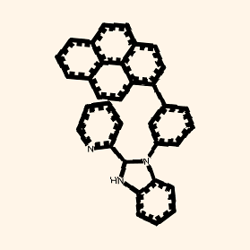 c1ccc(C2Nc3ccccc3N2c2cccc(-c3ccc4ccc5cccc6ccc3c4c56)c2)nc1